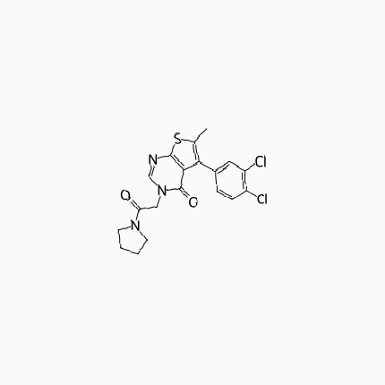 Cc1sc2ncn(CC(=O)N3CCCC3)c(=O)c2c1-c1ccc(Cl)c(Cl)c1